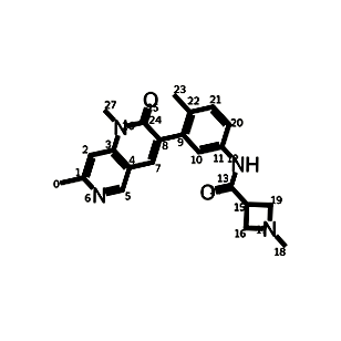 Cc1cc2c(cn1)cc(-c1cc(NC(=O)C3CN(C)C3)ccc1C)c(=O)n2C